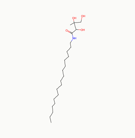 CCCCCCCCCCCCCCCCCCNC(=O)C(O)C(C)(O)CO